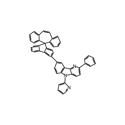 C1=Cc2ccccc2C2(c3ccccc31)c1ccccc1-c1cc(-c3ccc4c(c3)c3nc(-c5ccccc5)ccc3n4-c3ccccn3)ccc12